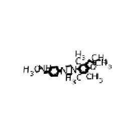 CNCc1ccc(N2CCN(c3c(C)c(C)c4c(c3C)CC(C)(C)O4)CC2)cc1